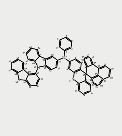 c1ccc(N(c2ccc3c(c2)Sc2ccccc2C32c3ccccc3-c3cccc4cccc2c34)c2ccc3c(c2)c2ccccc2n3-c2cccc3sc4ccccc4c23)cc1